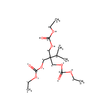 CCOC(=O)OCC(COC(=O)OCC)(COC(=O)OCC)C(C)C